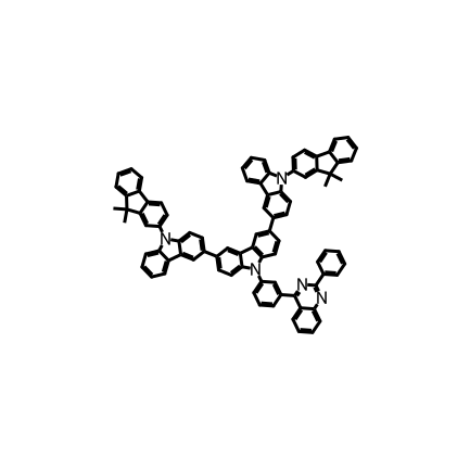 CC1(C)c2ccccc2-c2ccc(-n3c4ccccc4c4cc(-c5ccc6c(c5)c5cc(-c7ccc8c(c7)c7ccccc7n8-c7ccc8c(c7)C(C)(C)c7ccccc7-8)ccc5n6-c5cccc(-c6nc(-c7ccccc7)nc7ccccc67)c5)ccc43)cc21